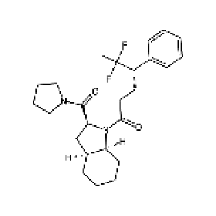 O=C([C@@H]1C[C@@H]2CCCC[C@@H]2N1C(=O)CC[C@@H](c1ccccc1)C(F)(F)F)N1CCCC1